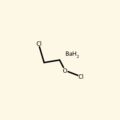 ClCCOCl.[BaH2]